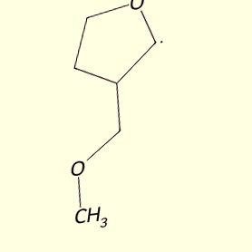 COCC1[CH]OCC1